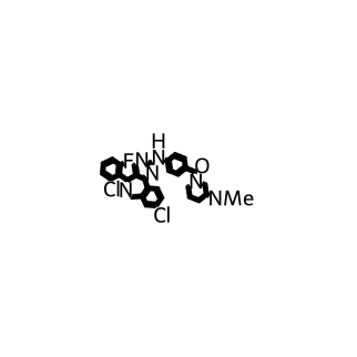 CNC1CCCN(C(=O)c2ccc(Nc3ncc4c(n3)-c3ccc(Cl)cc3C=NC4c3c(F)cccc3Cl)cc2)C1